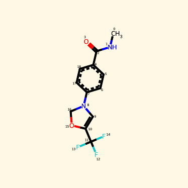 CNC(=O)c1ccc(N2C=C(C(F)(F)F)OC2)cc1